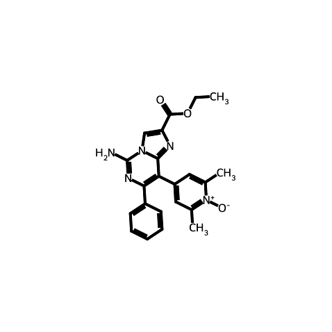 CCOC(=O)c1cn2c(N)nc(-c3ccccc3)c(-c3cc(C)[n+]([O-])c(C)c3)c2n1